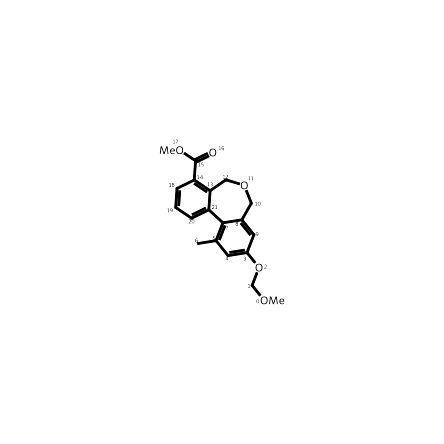 COCOc1cc(C)c2c(c1)COCc1c(C(=O)OC)cccc1-2